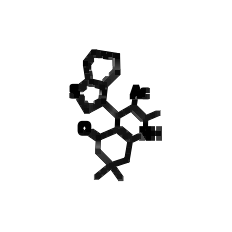 CC(=O)C1=C(C)NC2=C(C(=O)CC(C)(C)C2)C1c1csc2ccccc12